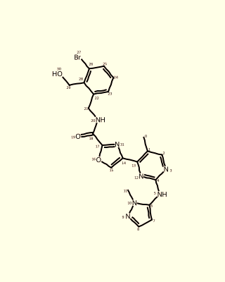 Cc1cnc(Nc2ccnn2C)nc1-c1coc(C(=O)NCc2cccc(Br)c2CO)n1